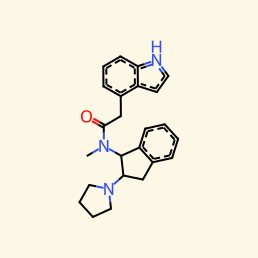 CN(C(=O)Cc1cccc2[nH]ccc12)C1c2ccccc2CC1N1CCCC1